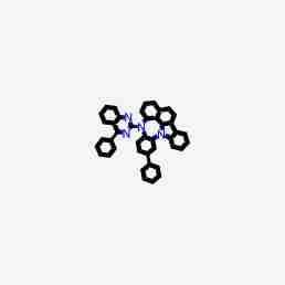 c1ccc(-c2ccc3c(c2)n2c4ccccc4c4ccc5cccc(c5c42)n3-c2nc(-c3ccccc3)c3ccccc3n2)cc1